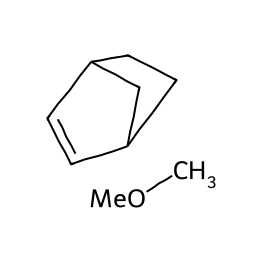 C1=CC2CCC1C2.COC